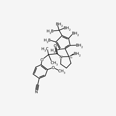 Bc1c(B)c([C@]2(B)CCCN2C(=O)C(C)(C)Oc2ccc(C#N)cc2OC)c(B)c(B)c1C(B)(B)B